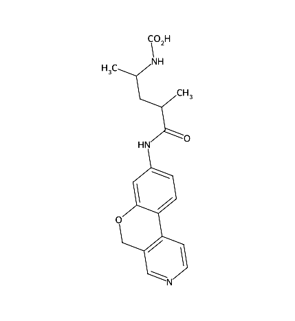 CC(CC(C)C(=O)Nc1ccc2c(c1)OCc1cnccc1-2)NC(=O)O